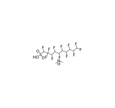 CNC.O=S(=O)(O)C(F)C(F)(F)C(F)C(F)C(F)C(F)C(F)C(F)C(F)C(F)F